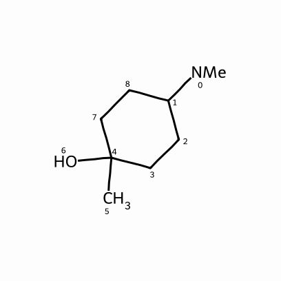 CNC1CCC(C)(O)CC1